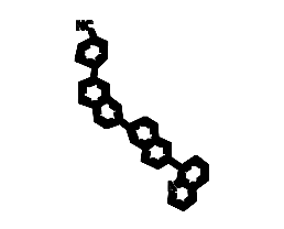 N#Cc1ccc(-c2ccc3ccc(-c4ccc5cc(-c6cccc7cccnc67)ccc5c4)cc3c2)cc1